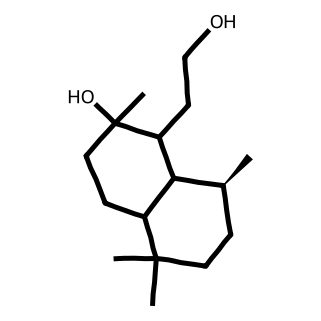 C[C@H]1CCC(C)(C)C2CCC(C)(O)C(CCO)C21